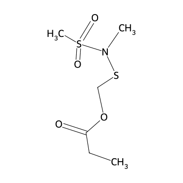 CCC(=O)OCSN(C)S(C)(=O)=O